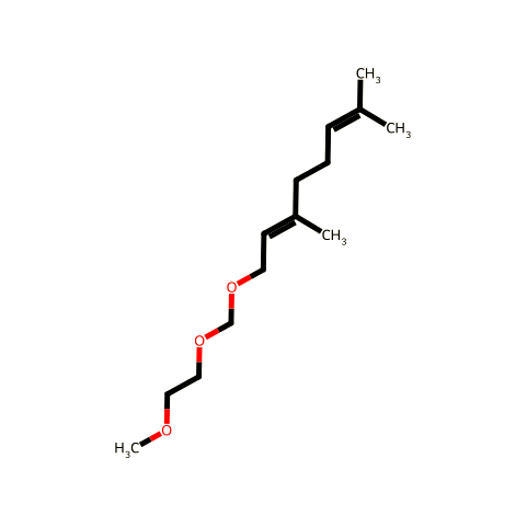 COCCOCOC/C=C(\C)CCC=C(C)C